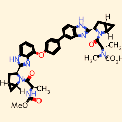 COC(=O)N[C@@H](C)C(=O)N1[C@@H]2C[C@H]2C[C@H]1c1nc2c(Oc3ccc(-c4ccc5[nH]c([C@@H]6C[C@H]7C[C@H]7N6C(=O)[C@H](C)N(C)C(=O)O)nc5c4)cc3)cccc2[nH]1